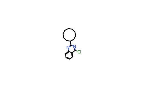 Clc1nc(C2CCCCCCCCC2)nc2ccccc12